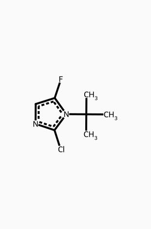 CC(C)(C)n1c(F)cnc1Cl